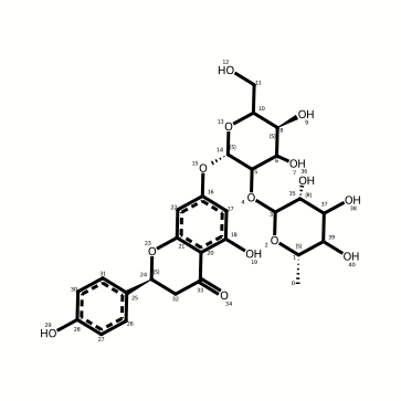 C[C@@H]1OC(OC2C(O)[C@H](O)C(CO)O[C@H]2Oc2cc(O)c3c(c2)O[C@H](c2ccc(O)cc2)CC3=O)[C@H](O)C(O)C1O